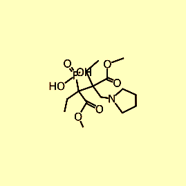 CCC(CN1CCCC1)(C(=O)OC)C(CC)(C(=O)OC)P(=O)(O)O